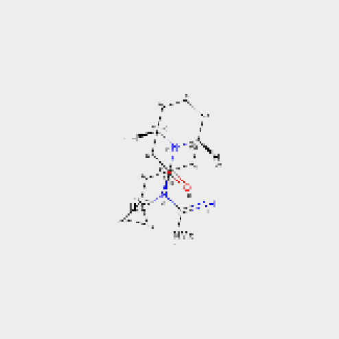 CNC(=N)N(C)[C@@H]1C[C@H]2CCC[C@@H](C1)N2C(=O)CC1CC1